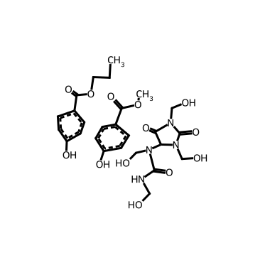 CCCOC(=O)c1ccc(O)cc1.COC(=O)c1ccc(O)cc1.O=C1C(N(CO)C(=O)NCO)N(CO)C(=O)N1CO